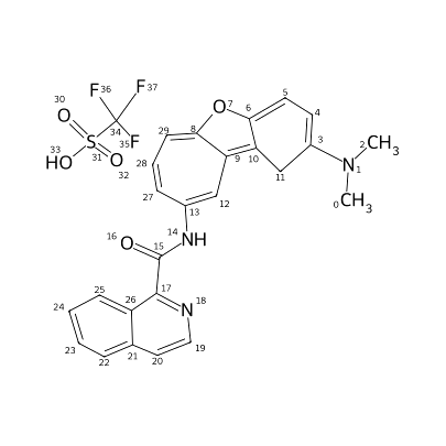 CN(C)C1=CC=c2oc3c(c2C1)C=C(NC(=O)c1nccc2ccccc12)C=CC=3.O=S(=O)(O)C(F)(F)F